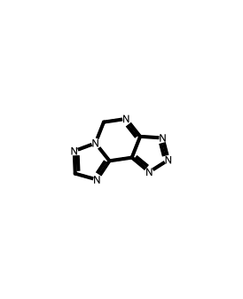 c1nc2n(n1)CN=C1N=NN=C12